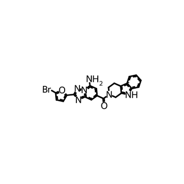 Nc1cc(C(=O)N2CCc3c([nH]c4ccccc34)C2)cc2nc(-c3ccc(Br)o3)nn12